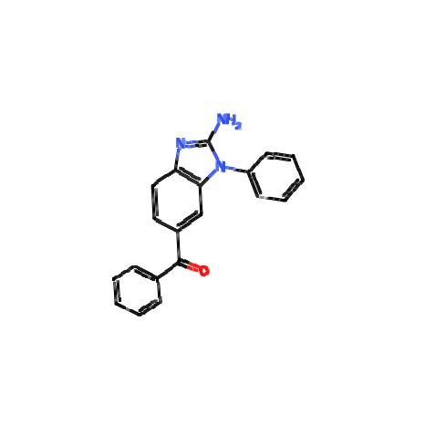 Nc1nc2ccc(C(=O)c3ccccc3)cc2n1-c1ccccc1